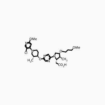 COCCCO[C@H]1CN(c2cnc(O[C@@H]3CCN(c4cc(OC)ncc4Cl)C[C@H]3C)cn2)[C@@H](CC(=O)O)[C@@H]1C